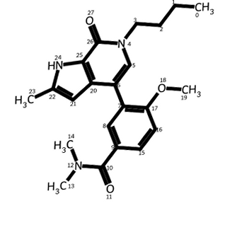 CCCCn1cc(-c2cc(C(=O)N(C)C)ccc2OC)c2cc(C)[nH]c2c1=O